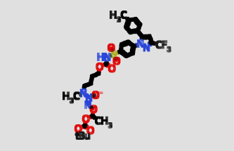 Cc1ccc(-c2cc(C(F)(F)F)nn2-c2ccc(S(=O)(=O)NC(=O)OCCCCN(C)/[N+]([O-])=N/OC(C)OC(=O)OC(C)(C)C)cc2)cc1